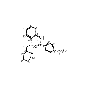 COc1ccc(C(=O)Nc2ccccc2CCC2CCCCN2)cc1